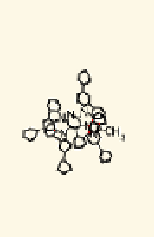 Cc1cccc(-c2ccccc2-c2c(-n3c4ccccc4c4cc(-c5ccccc5)ccc43)c(-n3c4ccccc4c4cc(-c5ccccc5)ccc43)nc(-n3c4ccccc4c4cc(-c5ccccc5)ccc43)c2-n2c3ccccc3c3cc(-c4ccccc4)ccc32)n1